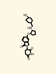 N#CC1CCC(CN[C@@H]2CCC[C@@H]2Oc2ccc3c(c2)CN(C2CCC(=O)NC2=O)C3=O)CC1